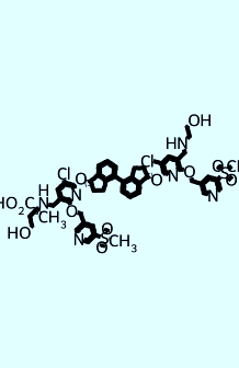 C[C@@](CCO)(NCc1cc(Cl)c(O[C@H]2CCc3c(-c4cccc5c4CC[C@@H]5Oc4nc(OCc5cncc(S(C)(=O)=O)c5)c(CNCCO)cc4Cl)cccc32)nc1OCc1cncc(S(C)(=O)=O)c1)C(=O)O